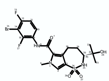 Cn1cc2c(c1C(=O)Nc1ccc(F)c(Br)c1F)CC[C@H](C(C)(C)O)NS2(=O)=O